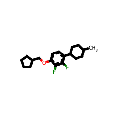 CC1CCC(c2ccc(OCC3CCCC3)c(F)c2F)CC1